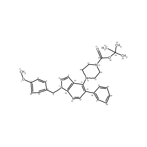 COc1ccc(Cn2ncc3c(N4CCN(C(=O)OC(C)(C)C)CC4)c(-c4ccccc4)cnc32)cc1